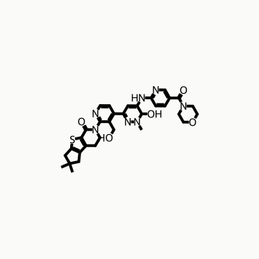 CN1N=C(c2ccnc(N3CCc4c(sc5c4CC(C)(C)C5)C3=O)c2CO)C=C(Nc2ccc(C(=O)N3CCOCC3)cn2)C1O